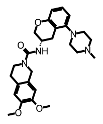 COc1cc2c(cc1OC)CN(C(=O)N[C@@H]1COc3cccc(N4CCN(C)CC4)c3C1)CC2